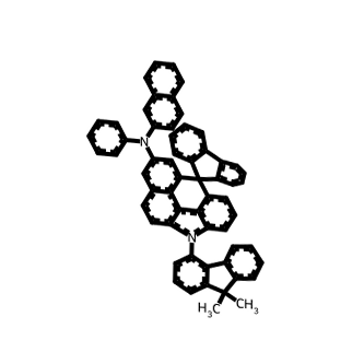 CC1(C)c2ccccc2-c2c(-n3c4cccc5c4c4c6c(cc(N(c7ccccc7)c7ccc8ccccc8c7)cc6ccc43)C53c4ccccc4-c4ccccc43)cccc21